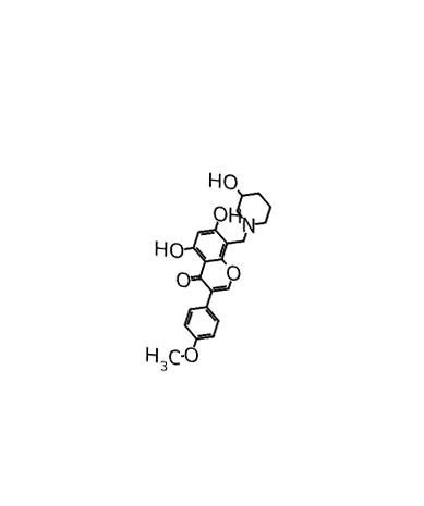 COc1ccc(-c2coc3c(CN4CCCC(O)C4)c(O)cc(O)c3c2=O)cc1